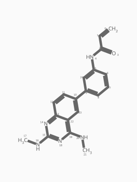 C=CC(=O)Nc1cccc(-c2ccc3nc(NC)nc(NC)c3c2)c1